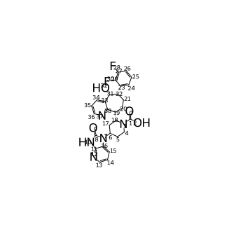 O=C(O)N1CCC(n2c(=O)[nH]c3ncccc32)CC1[C@H]1CC[C@@H](c2cccc(F)c2F)[C@@H](O)c2cccnc21